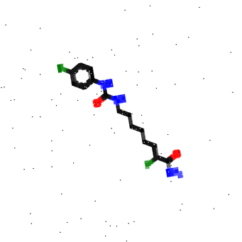 NC(=O)/C(F)=C/CCCCCNC(=O)Nc1ccc(F)cc1